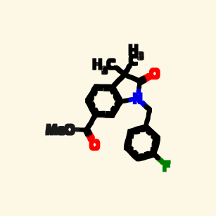 COC(=O)c1ccc2c(c1)N(Cc1cccc(F)c1)C(=O)C2(C)C